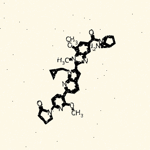 COc1nc(N2CCCC2=O)ccc1-c1ccc2cc(-c3nc4cc(C(=O)N5CC6CCC5C6N)cc(OC)c4n3C)n(CC3CC3)c2n1